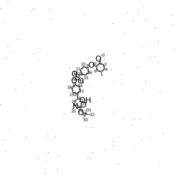 COc1ccccc1Oc1ccc(S(=O)(=O)Oc2ccc(C(O)CN(C)C(=O)OC(C)(C)C)cc2)cc1